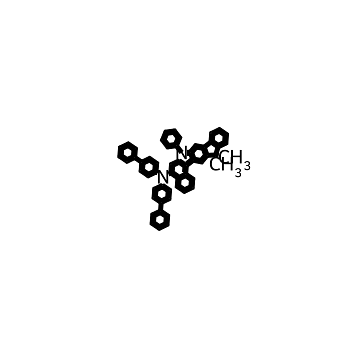 CC1(C)c2ccccc2-c2cc3c(cc21)c1c2ccccc2c(N(c2ccc(-c4ccccc4)cc2)c2ccc(-c4ccccc4)cc2)cc1n3-c1ccccc1